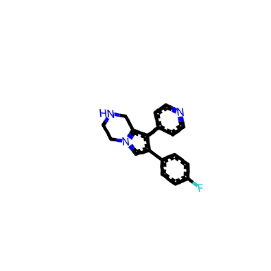 Fc1ccc(-c2cn3c(c2-c2ccncc2)CNCC3)cc1